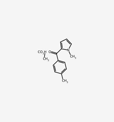 CC(=O)O.Cc1ccc(C(=O)c2cccn2C)cc1